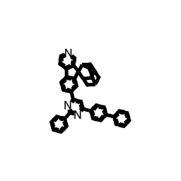 c1ccc(-c2ccc(-c3cc(-c4ccc5c(c4)C4(c6cnccc6-5)C5CC6CC(C5)CC4C6)nc(-c4ccccc4)n3)cc2)cc1